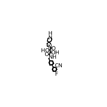 N#Cc1cc(F)ccc1-c1ccc(CNC(=O)[C@H](O)[C@@H](O)C(=O)N2CCC3(CCNCC3)C2)cc1